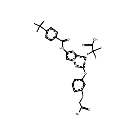 CC(C)(C)c1ccc(C(=O)Nc2cn3nc(Oc4cccc(OCC(=O)O)c4)ccc3n2)cc1.O=C(O)C(F)(F)F